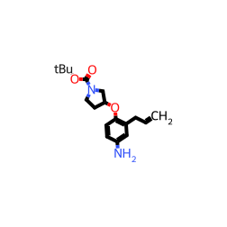 C=CCc1cc(N)ccc1OC1CCN(C(=O)OC(C)(C)C)C1